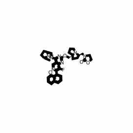 O=C1OCCN1C[C@H]1CC[C@@]2(COc3nc(N4CC5CCC(C4)N5)c4cnc(-c5cccc6cccc(Cl)c56)c(F)c4n3)CCCN12